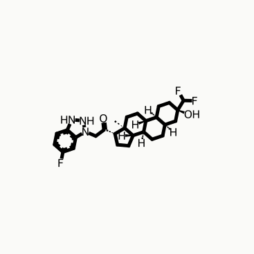 C[C@]12CC[C@H]3[C@@H](CC[C@@H]4C[C@@](O)(C(F)F)CC[C@@H]43)[C@@H]1CC[C@@H]2C(=O)CN1NNc2ccc(F)cc21